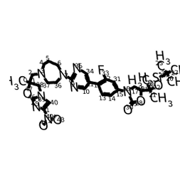 CC1(CN2CCCN(c3ncc(-c4ccc(N5CC(C(C)(C)O[SiH2]C(C)(C)C)OC5=O)cc4F)cn3)CC2)Cn2cc([N+](=O)[O-])nc2O1